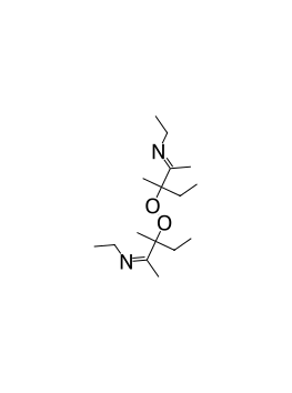 CCN=C(C)C(C)(CC)OOC(C)(CC)C(C)=NCC